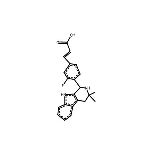 CC1(C)Cc2c([nH]c3ccccc23)C(c2ccc(/C=C/C(=O)O)cc2F)N1